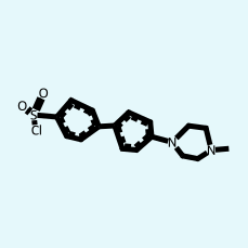 CN1CCN(c2ccc(-c3ccc(S(=O)(=O)Cl)cc3)cc2)CC1